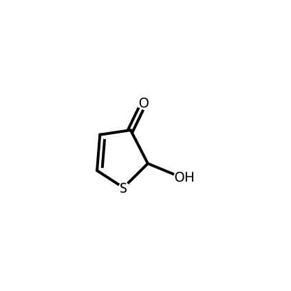 O=C1C=CSC1O